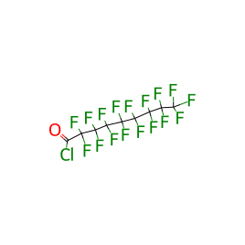 O=C(Cl)C(F)(F)C(F)(F)C(F)(F)C(F)(F)C(F)(F)C(F)(F)C(F)(F)C(F)(F)F